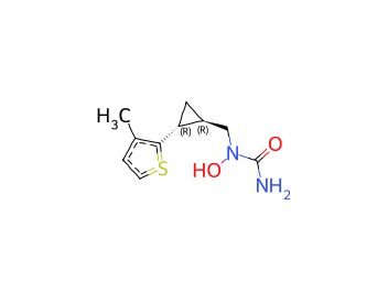 Cc1ccsc1[C@@H]1C[C@H]1CN(O)C(N)=O